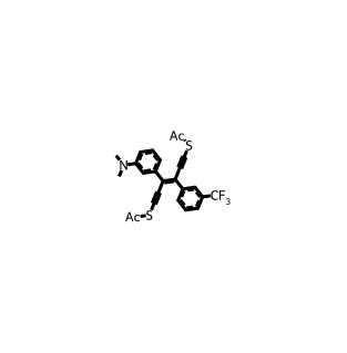 CC(=O)SC#C/C(=C(/C#CSC(C)=O)c1cccc(C(F)(F)F)c1)c1cccc(N(C)C)c1